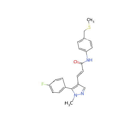 CSCc1ccc(NC(=O)C=Cc2cnn(C)c2-c2ccc(F)cc2)cc1